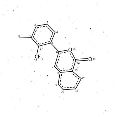 Cc1cccc(-c2cc3ccccc3c(=O)o2)c1C(F)(F)F